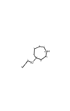 CCOC1CCCCNCC1